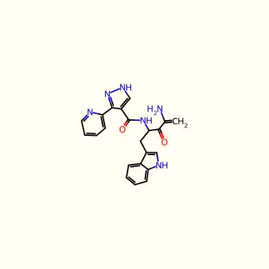 C=C(N)C(=O)C(Cc1c[nH]c2ccccc12)NC(=O)c1c[nH]nc1-c1ccccn1